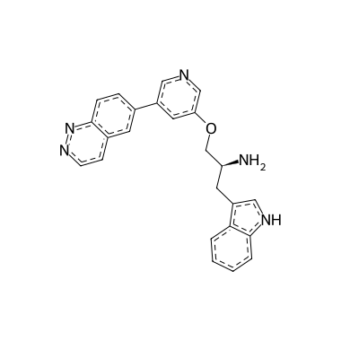 N[C@H](COc1cncc(-c2ccc3nnccc3c2)c1)Cc1c[nH]c2ccccc12